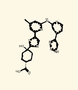 Cc1cc(Nc2cc(-c3c[nH]nn3)ccn2)nc(-c2cnc([C@]3(O)CC[C@H](C(=O)O)CC3)s2)c1